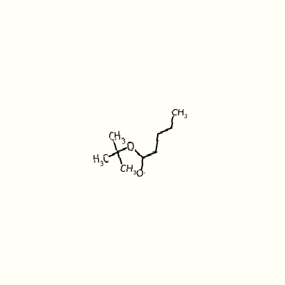 CCCCC([O])OC(C)(C)C